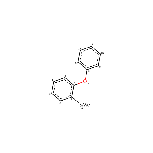 CSc1ccc[c]c1Oc1ccccc1